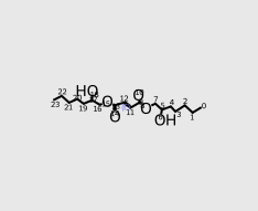 CCCCCC(O)COC(=O)/C=C/C(=O)OCC(O)CCCCC